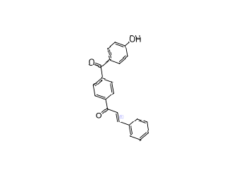 O=C(/C=C/c1ccccc1)c1ccc(C(=O)c2ccc(O)cc2)cc1